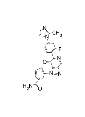 Cc1nccn1-c1ccc(C2N=Cc3ncn(-c4cccc(C(N)=O)c4)c3C2=O)c(F)c1